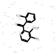 Nc1ccnc(C(=O)c2ccccc2C(F)(F)F)c1C(=O)O